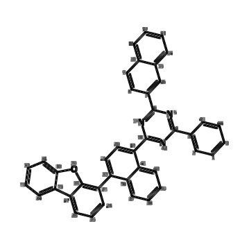 c1ccc(-c2nc(-c3ccc4ccccc4c3)nc(-c3ccc(-c4cccc5c4oc4ccccc45)c4ccccc34)n2)cc1